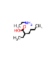 CCCCC(CC)C(=O)O.CCN